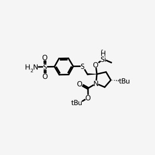 C[SiH](C)O[C@]1(CSc2ccc(S(N)(=O)=O)cc2)C[C@H](C(C)(C)C)CN1C(=O)OC(C)(C)C